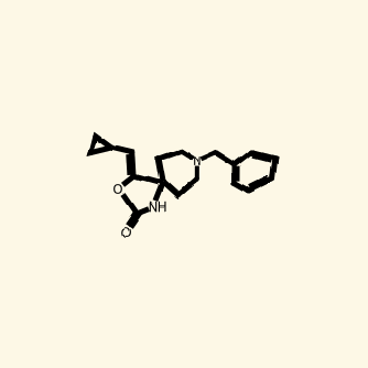 O=C1NC2(CCN(Cc3ccccc3)CC2)C(=CC2CC2)O1